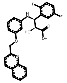 O=C(O)[C@@H](O)[C@@H](Nc1cccc(OCc2ccc3ccccc3n2)c1)c1cc(F)ccc1F